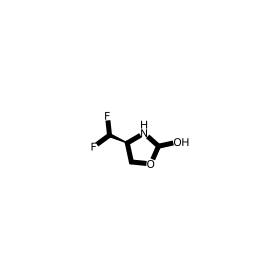 OC1N[C@H](C(F)F)CO1